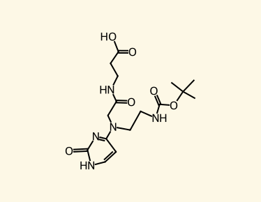 CC(C)(C)OC(=O)NCCN(CC(=O)NCCC(=O)O)c1cc[nH]c(=O)n1